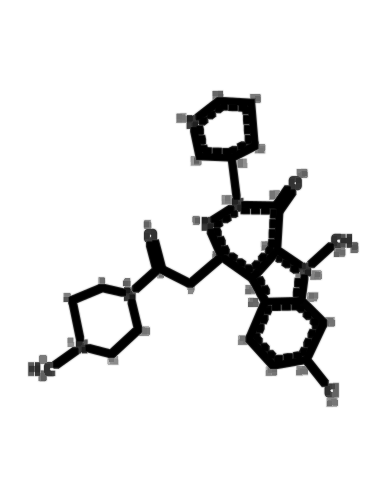 CN1CCN(C(=O)Cc2nn(-c3cccnc3)c(=O)c3c2c2ccc(Cl)cc2n3C)CC1